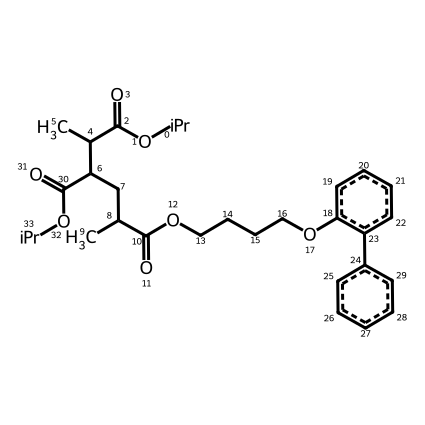 CC(C)OC(=O)C(C)C(CC(C)C(=O)OCCCCOc1ccccc1-c1ccccc1)C(=O)OC(C)C